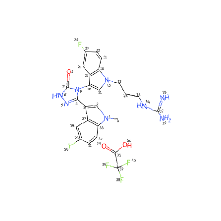 Cn1cc(-c2n[nH]c(=O)n2-c2cn(CCCNC(=N)N)c3ccc(F)cc23)c2cc(F)ccc21.O=C(O)C(F)(F)F